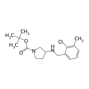 Cc1cccc(CNC2CCN(C(=O)OC(C)(C)C)C2)c1Cl